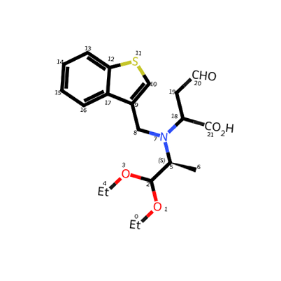 CCOC(OCC)[C@H](C)N(Cc1csc2ccccc12)C(CC=O)C(=O)O